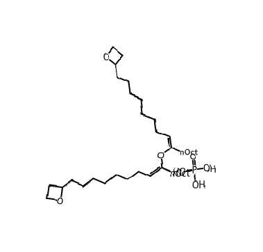 CCCCCCCC/C(=C/CCCCCCCC1CCO1)O/C(=C\CCCCCCCC1CCO1)CCCCCCCC.O=P(O)(O)O